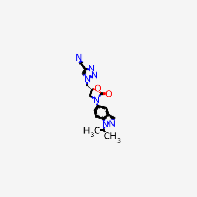 CC(C)n1ncc2cc(N3C[C@H](Cn4cc(C#N)nn4)OC3=O)ccc21